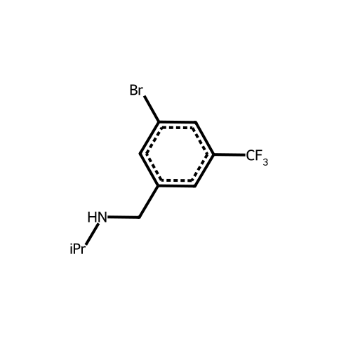 CC(C)NCc1cc(Br)cc(C(F)(F)F)c1